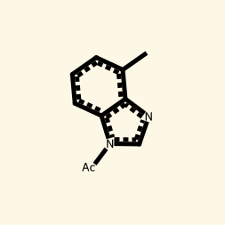 CC(=O)n1cnc2c(C)cccc21